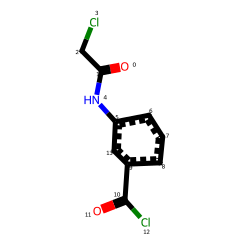 O=C(CCl)Nc1cccc(C(=O)Cl)c1